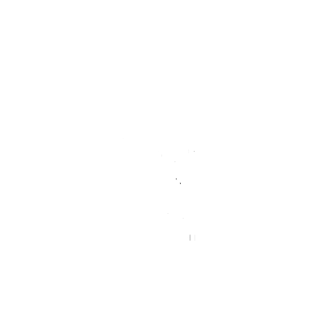 O=C(Nc1ccccc1C(=O)O)OCC1c2ccccc2-c2ccccc21